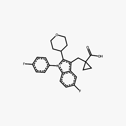 O=C(O)C1(Cc2c(C3CCOCC3)n(-c3ccc(F)cc3)c3ccc(F)cc23)CC1